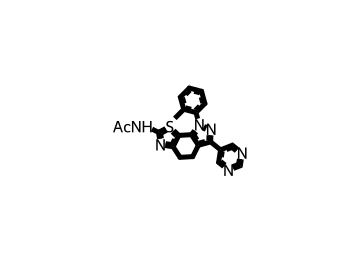 CC(=O)Nc1nc2c(s1)-c1c(c(-c3cncnc3)nn1-c1ccccc1C)CC2